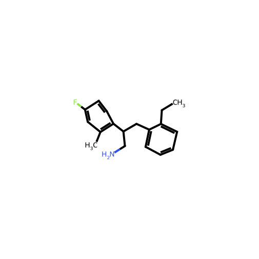 CCc1ccccc1CC(CN)c1ccc(F)cc1C